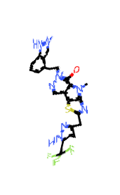 Cn1c2nc(Cc3cc(C(F)(F)F)[nH]n3)sc2c2cnn(Cc3cccc4[nH]ncc34)c(=O)c21